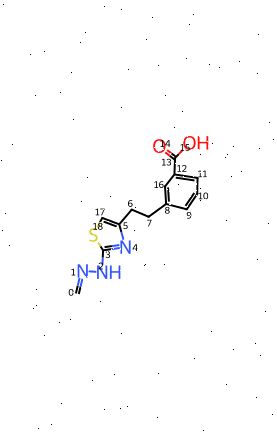 C=NNc1nc(CCc2cccc(C(=O)O)c2)cs1